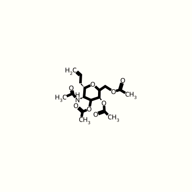 C=CC[C@@H]1OC(COC(C)=O)[C@H](OC(C)=O)C(OC(C)=O)[C@@H]1NC(C)=O